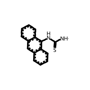 [NH]C(=S)Nc1c2ccccc2cc2ccccc12